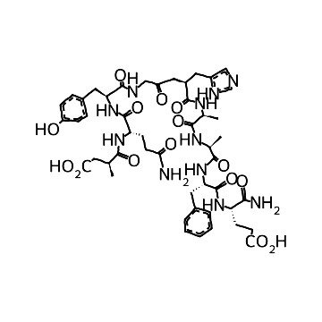 C[C@H](NC(=O)[C@@H](CC(=O)CNC(=O)[C@H](Cc1ccc(O)cc1)NC(=O)[C@H](CCC(N)=O)NC(=O)[C@@H](C)CC(=O)O)Cc1cnc[nH]1)C(=O)N[C@@H](C)C(=O)N[C@@H](Cc1ccccc1)C(=O)N[C@@H](CCC(=O)O)C(N)=O